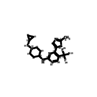 Cc1ncc(-c2nc(NC3CCN(SC4CC4)CC3)ncc2C(F)(F)F)s1